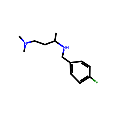 CC(CCN(C)C)NCc1ccc(F)cc1